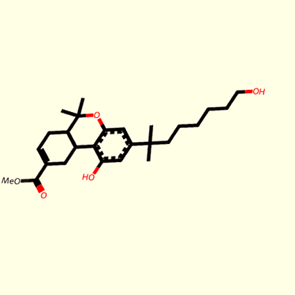 COC(=O)C1=CCC2C(C1)c1c(O)cc(C(C)(C)CCCCCCO)cc1OC2(C)C